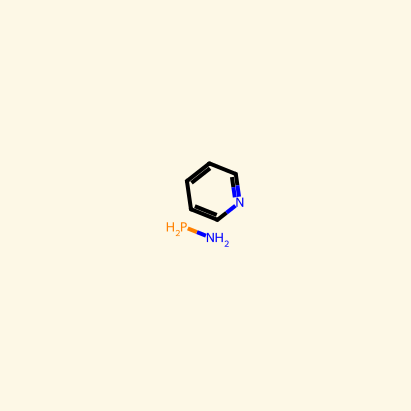 NP.c1ccncc1